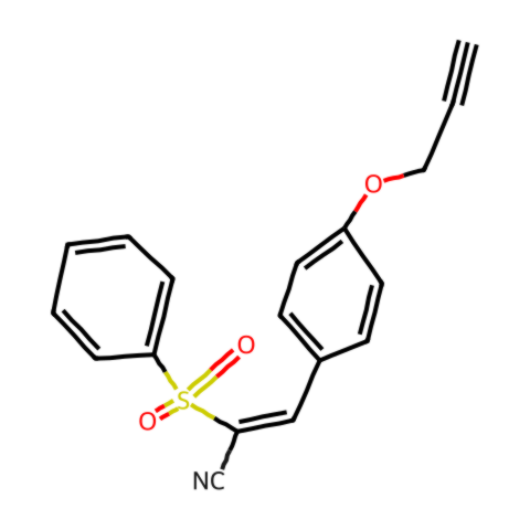 C#CCOc1ccc(C=C(C#N)S(=O)(=O)c2ccccc2)cc1